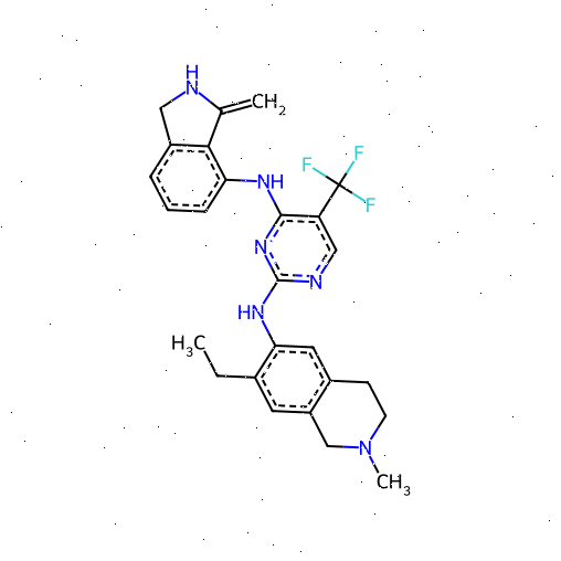 C=C1NCc2cccc(Nc3nc(Nc4cc5c(cc4CC)CN(C)CC5)ncc3C(F)(F)F)c21